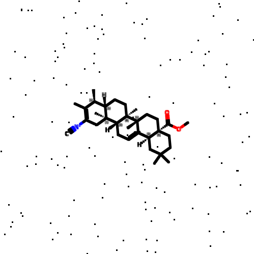 [C-]#[N+]C1=C(C)[C@@H](C)[C@@H]2CC[C@]3(C)[C@H](CC=C4[C@@H]5CC(C)(C)CC[C@]5(C(=O)OC)CC[C@]43C)[C@@]2(C)C1